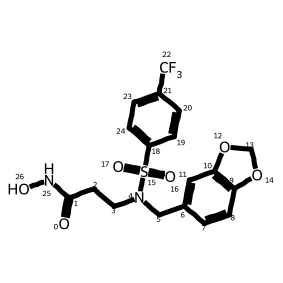 O=C(CCN(Cc1ccc2c(c1)OCO2)S(=O)(=O)c1ccc(C(F)(F)F)cc1)NO